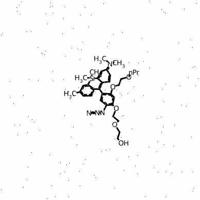 CCCOCCOc1cc(OCCOCCO)c(N=[N+]=[N-])cc1C1=C2C=CC(=[N+](C)C)C=C2[Si](C)(C)c2cc(C)ccc21